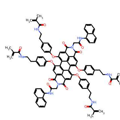 C=C(C)C(=O)NCCc1ccc(Oc2cc3c4c(cc(Oc5ccc(CCNC(=O)C(=C)C)cc5)c5c6c(Oc7ccc(CCNC(=O)C(=C)C)cc7)cc7c8c(cc(Oc9ccc(CCNC(=O)C(=C)C)cc9)c(c2c45)c86)C(=O)N(CC(=O)Nc2cccc4ccccc24)C7=O)C(=O)N(CC(=O)Nc2cccc4ccccc24)C3=O)cc1